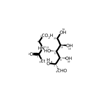 CCC(=O)NCC(=O)O.O=C[C@H](O)[C@@H](O)[C@H](O)[C@H](O)CO